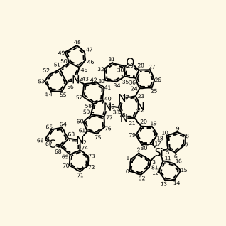 c1ccc([Si](c2ccccc2)(c2ccccc2)c2ccc(-c3nc(-c4cccc5oc6ccccc6c45)nc(-n4c5ccc(-n6c7ccccc7c7ccccc76)cc5c5cc(-n6c7ccccc7c7ccccc76)ccc54)n3)cc2)cc1